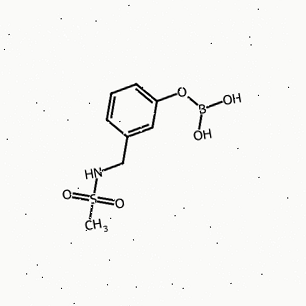 CS(=O)(=O)NCc1cccc(OB(O)O)c1